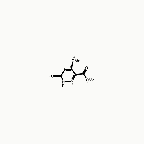 COC(=O)c1nn(C)c(=O)cc1OC